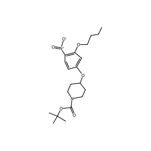 CCCCOc1cc(OC2CCN(C(=O)OC(C)(C)C)CC2)ccc1[N+](=O)[O-]